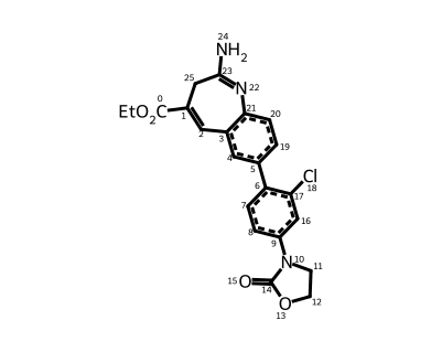 CCOC(=O)C1=Cc2cc(-c3ccc(N4CCOC4=O)cc3Cl)ccc2N=C(N)C1